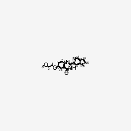 COCCOc1ccc2nc(-c3cc4sccc4cn3)[nH]c(=O)c2c1